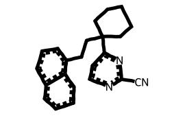 N#Cc1nccc(C2(CCc3cccc4ccccc34)CCCCC2)n1